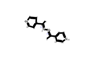 C/C(=N\N=C(/C)c1ccncc1)c1ccncc1